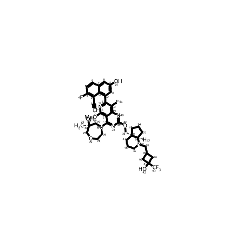 C#Cc1c(F)ccc2cc(O)cc(-c3nc(OC)c4c(N5CCOC[C@@](C)(O)C5)nc(OC[C@]56CCC[C@H]5N(CC5CC(O)(C(F)(F)F)C5)CCC6)nc4c3F)c12